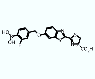 O=C(O)[C@H]1CSC(c2nc3ccc(OCc4ccc(B(O)O)c(F)c4)cc3s2)=N1